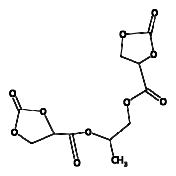 CC(COC(=O)C1COC(=O)O1)OC(=O)C1COC(=O)O1